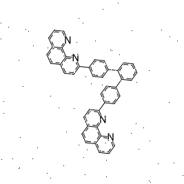 c1ccc(-c2ccc(-c3ccc4ccc5cccnc5c4n3)cc2)c(-c2ccc(-c3ccc4ccc5cccnc5c4n3)cc2)c1